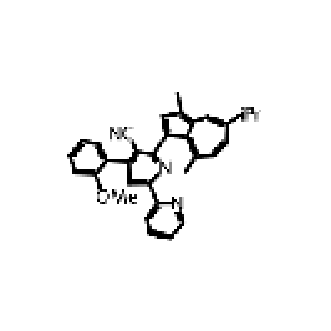 COc1ccccc1-c1cc(-c2ccccn2)nc(-c2cc(C)c3cc(C(C)C)ccc(C)c2-3)c1C#N